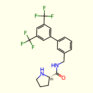 O=C(NCc1cccc(-c2cc(C(F)(F)F)cc(C(F)(F)F)c2)c1)[C@@H]1CCCN1